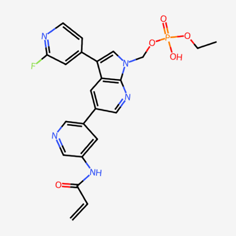 C=CC(=O)Nc1cncc(-c2cnc3c(c2)c(-c2ccnc(F)c2)cn3COP(=O)(O)OCC)c1